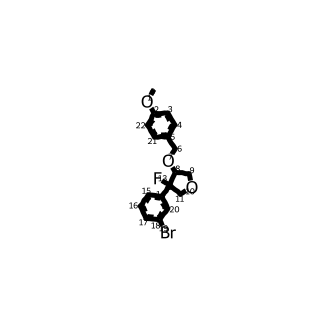 COc1ccc(COC2COCC2(F)c2cccc(Br)c2)cc1